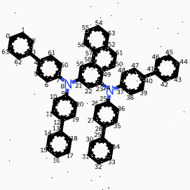 c1ccc(-c2ccc(N(c3ccc(-c4ccccc4)cc3)c3cc(N(c4ccc(-c5ccccc5)cc4)c4ccc(-c5ccccc5)cc4)c4ccc5ccccc5c4c3)cc2)cc1